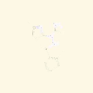 Cc1csc(N(NC(=O)c2ccccc2Br)C(N)=O)n1